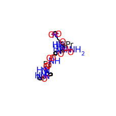 CCOCc1nc2c(NC(=O)[C@@H]3CCCN3)nc3ccccc3c2n1CC(C)(C)OCCNC(=O)OCc1ccc(NC(=O)[C@H](CCCNC(N)=O)NC(=O)[C@@H](NC(=O)CCCCCN2C(=O)C=CC2=O)C(C)C)cc1